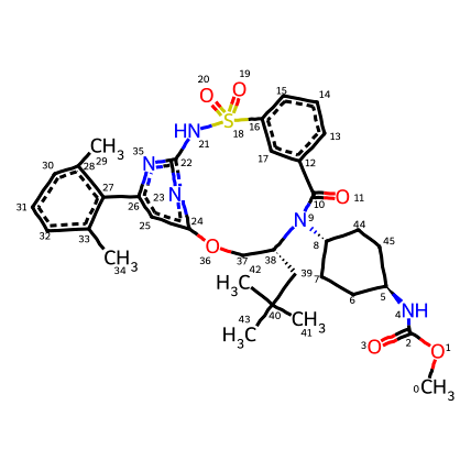 COC(=O)N[C@H]1CC[C@H](N2C(=O)c3cccc(c3)S(=O)(=O)Nc3nc(cc(-c4c(C)cccc4C)n3)OC[C@H]2CC(C)(C)C)CC1